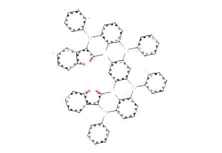 c1ccc(N2c3cc4c(cc3B3c5oc6ccccc6c5N(c5ccccc5)c5cccc2c53)B2c3oc5ccccc5c3N(c3ccccc3)c3cccc(c32)N4c2ccccc2)cc1